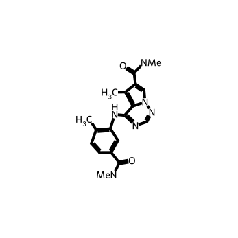 CNC(=O)c1ccc(C)c(Nc2ncnn3cc(C(=O)NC)c(C)c23)c1